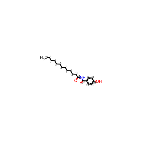 CCCCCCCCCCCCC(=O)NC(=O)c1ccc(O)cc1